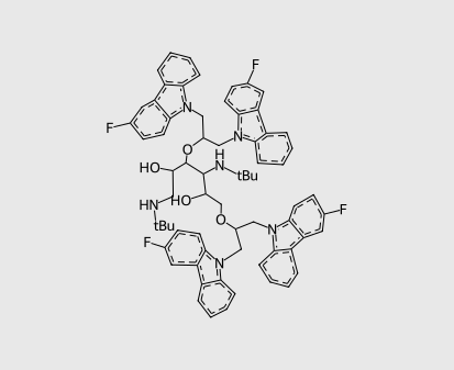 CC(C)(C)NCC(O)C(OC(Cn1c2ccccc2c2cc(F)ccc21)Cn1c2ccccc2c2cc(F)ccc21)C(NC(C)(C)C)C(O)COC(Cn1c2ccccc2c2cc(F)ccc21)Cn1c2ccccc2c2cc(F)ccc21